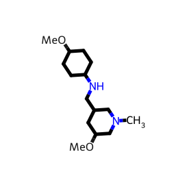 COC1CCC(NCC2CC(OC)CN(C)C2)CC1